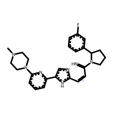 CN1CCN(c2cccc(-c3cnc(/C=C\C(=N)N4CCCC4c4cccc(F)c4)[nH]3)n2)CC1